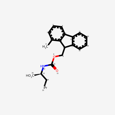 Cc1cccc2c1C(COC(=O)N[C@@H](CC(C)C)C(=O)O)c1ccccc1-2